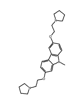 Cn1c2ccc(OCCN3CCCC3)cc2c2ccc(OCCN3CCCC3)cc21